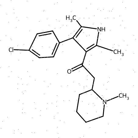 Cc1[nH]c(C)c(-c2ccc(Cl)cc2)c1C(=O)CC1CCCCN1C